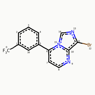 FC(F)(F)c1cccc(-c2ccnc3c(Br)ncn23)c1